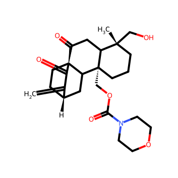 C=C1C(=O)[C@]23CC[C@H]1CC2[C@]1(COC(=O)N2CCOCC2)CCC[C@@](C)(CO)C1CC3=O